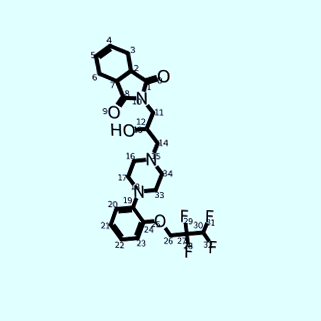 O=C1C2CC=CCC2C(=O)N1CC(O)CN1CCN(c2ccccc2OCC(F)(F)C(F)F)CC1